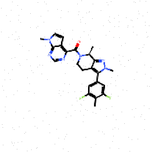 Cc1c(F)cc(-c2c3c(nn2C)[C@H](C)N(C(=O)c2ncnc4c2ccn4C)CC3)cc1F